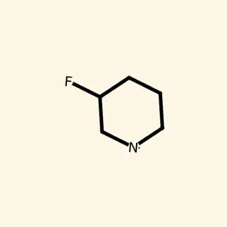 FC1CCC[N]C1